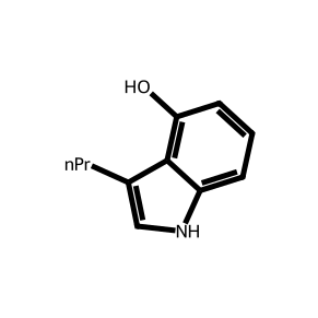 CCCc1c[nH]c2cccc(O)c12